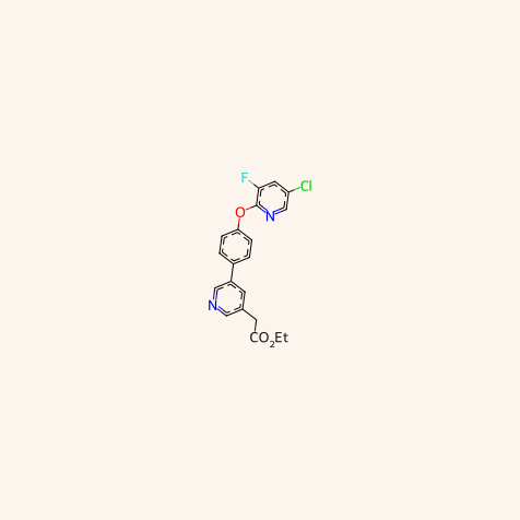 CCOC(=O)Cc1cncc(-c2ccc(Oc3ncc(Cl)cc3F)cc2)c1